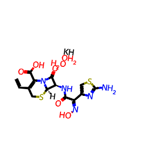 C=CC1=C(C(=O)O)N2C(=O)[C@@H](NC(=O)/C(=N\O)c3csc(N)n3)[C@H]2SC1.O.O.[KH]